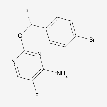 C[C@@H](Oc1ncc(F)c(N)n1)c1ccc(Br)cc1